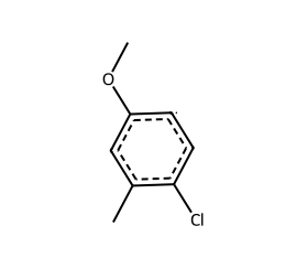 COc1[c]cc(Cl)c(C)c1